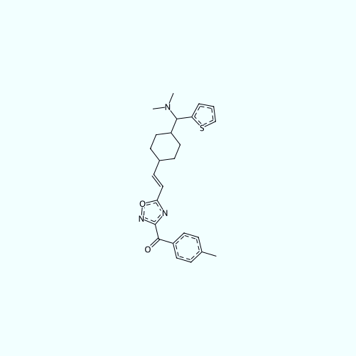 Cc1ccc(C(=O)c2noc(/C=C/C3CCC(C(c4cccs4)N(C)C)CC3)n2)cc1